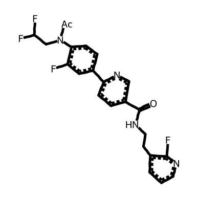 CC(=O)N(CC(F)F)c1ccc(-c2ccc(C(=O)NCCc3cccnc3F)cn2)cc1F